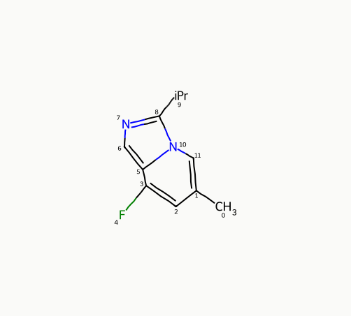 Cc1cc(F)c2cnc(C(C)C)n2c1